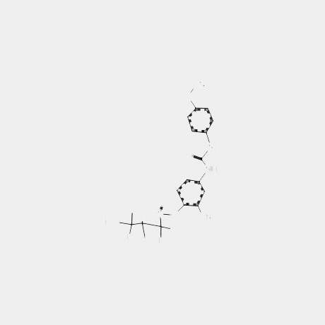 N#CSc1ccc(NC(=O)Nc2ccc(OS(=O)(=O)C(F)(F)C(F)(F)C(F)(F)C(F)(F)F)c(C#N)c2)cc1